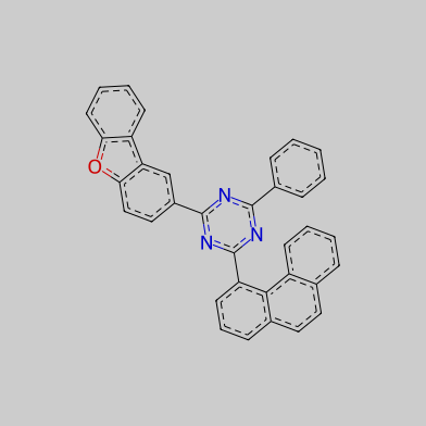 c1ccc(-c2nc(-c3ccc4oc5ccccc5c4c3)nc(-c3cccc4ccc5ccccc5c34)n2)cc1